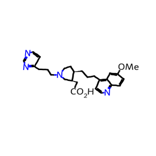 COc1ccc2nccc(CCC[C@@H]3CCN(CCCc4ccncn4)C[C@@H]3CC(=O)O)c2c1